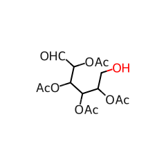 CC(=O)OC(C=O)C(OC(C)=O)C(OC(C)=O)C(CO)OC(C)=O